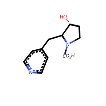 O=C(O)N1CC[C@@H](O)C1Cc1ccncc1